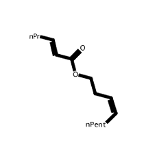 CCC/C=C/C(=O)OCC/C=C\CCCCC